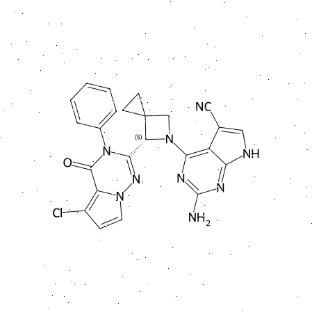 N#Cc1c[nH]c2nc(N)nc(N3CC4(CC4)[C@H]3c3nn4ccc(Cl)c4c(=O)n3-c3ccccc3)c12